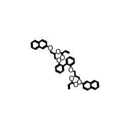 C=CC(=O)OC(COc1ccc2ccccc2c1)COc1ccccc1-c1ccccc1OCC(COc1ccc2ccccc2c1)OC(=O)C=C